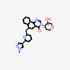 Cn1cc(-c2cccc(Cc3cc4c(=O)n([C@H]5CCOC[C@@H]5O)cnc4c4ccccc34)n2)cn1